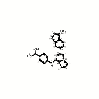 CC(O)c1ccc(Nc2nc(-c3ccc4c(N)n[nH]c4c3)cn3ccnc23)cc1